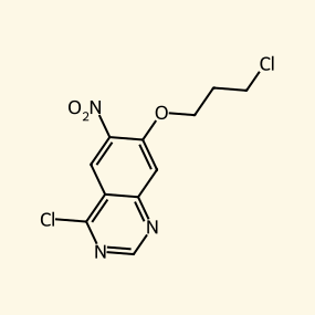 O=[N+]([O-])c1cc2c(Cl)ncnc2cc1OCCCCl